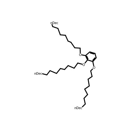 CCCCCCCCCCCCCCCCCCOc1c[c]cc(OCCCCCCCCCCCCCCCCCC)c1OCCCCCCCCCCCCCCCCCC